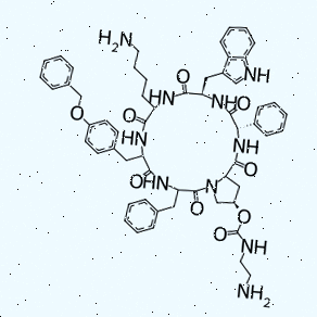 NCCCCC1NC(=O)[C@@H](Cc2c[nH]c3ccccc23)NC(=O)[C@H](c2ccccc2)NC(=O)C2C[C@@H](OC(=O)NCCN)CN2C(=O)C(Cc2ccccc2)NC(=O)C(Cc2ccc(OCc3ccccc3)cc2)NC1=O